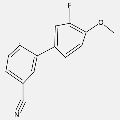 COc1ccc(-c2[c]ccc(C#N)c2)cc1F